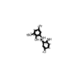 CC(C)c1cc(N/N=C2/C=C(Cl)C=CC2=N)c(O)c(C(C)(C)C)c1